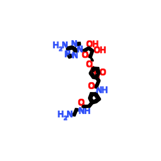 NCCNC(=O)Cc1ccc(NC(=O)Cc2ccc(OC[C@H]3O[C@@H](n4cnc5c(N)ncnc54)[C@H](O)[C@@H]3O)cc2)cc1.O